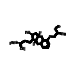 CCCCC[C@@H](O)CCC1[C@H](O)C[C@@H]2Cc3c(cccc3OCC(O)OC(C)C)C[C@H]12